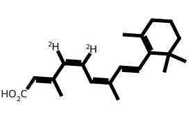 [2H]C(/C=C(C)\C=C\C1=C(C)CCCC1(C)C)=C([2H])/C(C)=C/C(=O)O